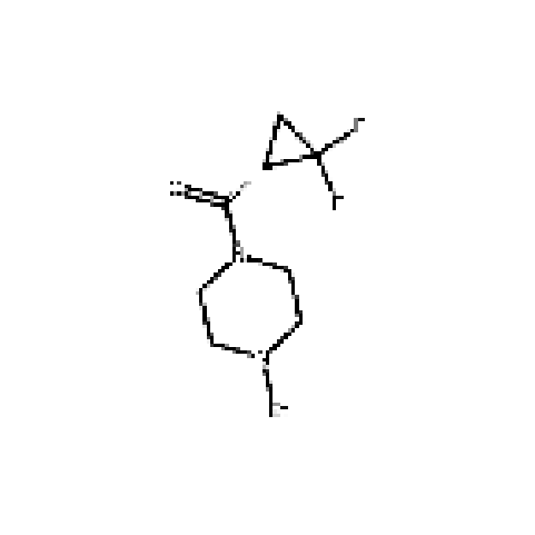 CCN1CCN(C(=O)[C@@H]2CC2(F)F)CC1